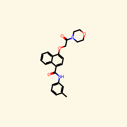 Cc1cccc(NC(=O)c2ccc(OCC(=O)N3CCOCC3)c3ccccc23)c1